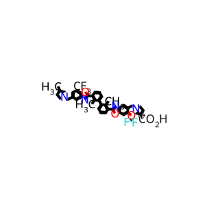 Cc1c(-c2nc3cc(CN4CC[C@@H](C(=O)O)C4)c(OC(F)F)cc3o2)cccc1-c1cccc(-c2nc3cc(CN4CCC(C)C4)cc(C(F)(F)F)c3o2)c1C